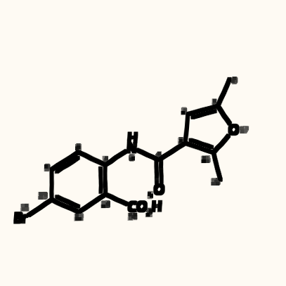 Cc1cc(C(=O)Nc2ccc(Br)cc2C(=O)O)c(C)o1